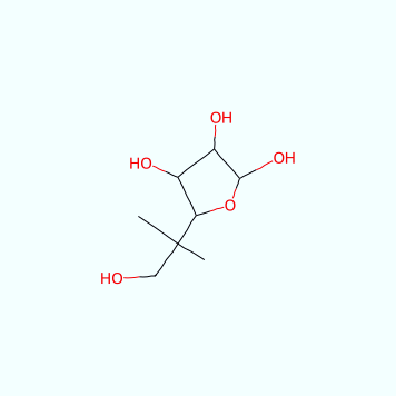 CC(C)(CO)C1OC(O)C(O)C1O